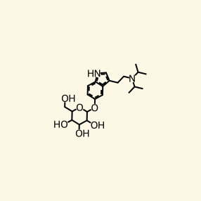 CC(C)N(CCc1c[nH]c2ccc(OC3OC(CO)C(O)C(O)C3O)cc12)C(C)C